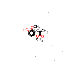 C=C(C)C(=O)OC.COc1ccccc1O